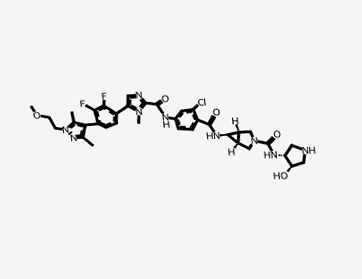 COCCn1nc(C)c(-c2ccc(-c3cnc(C(=O)Nc4ccc(C(=O)N[C@H]5[C@@H]6CN(C(=O)N[C@@H]7CNC[C@H]7O)C[C@@H]65)c(Cl)c4)n3C)c(F)c2F)c1C